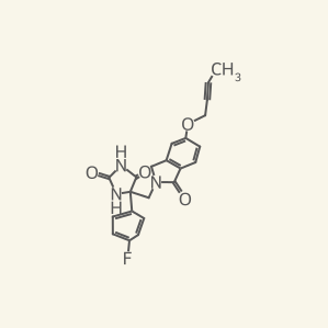 CC#CCOc1ccc2c(c1)CN(CC1(c3ccc(F)cc3)NC(=O)NC1=O)C2=O